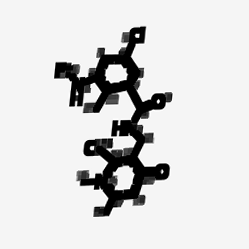 CCNc1cc(Cl)cc(C(=O)NCc2c(Cl)n(C)c(C)cc2=O)c1C